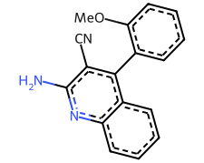 COc1ccccc1-c1c(C#N)c(N)nc2ccccc12